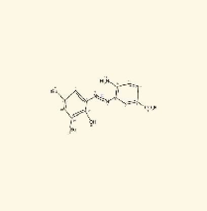 CC(C)(C)c1cc(/N=N/c2cc(C(=O)O)ccc2N)c(O)c(C(C)(C)C)c1